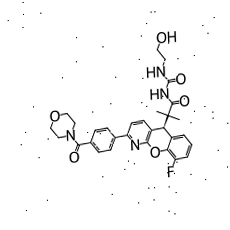 CC(C)(C(=O)NC(=O)NCCO)[C@@H]1c2ccc(-c3ccc(C(=O)N4CCOCC4)cc3)nc2Oc2c(F)cccc21